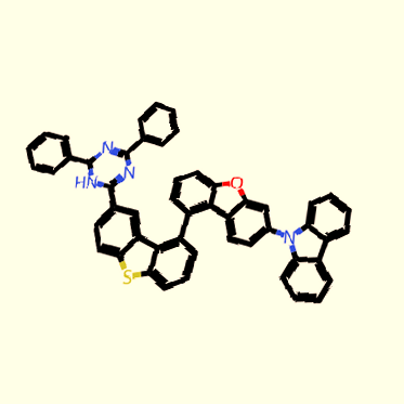 c1ccc(C2=NC(c3ccccc3)NC(c3ccc4sc5cccc(-c6cccc7oc8cc(-n9c%10ccccc%10c%10ccccc%109)ccc8c67)c5c4c3)=N2)cc1